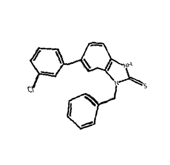 S=c1[nH]c2ccc(-c3cccc(Cl)c3)cc2n1Cc1ccccc1